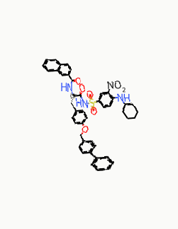 O=C(N[C@@H](Cc1ccc(OCc2ccc(-c3ccccc3)cc2)cc1)C(=O)NS(=O)(=O)c1ccc(NC2CCCCC2)c([N+](=O)[O-])c1)c1ccc2ccccc2c1